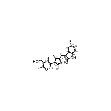 CC(=O)[C@@H](CO)NC(=O)c1c(C)[nH]c(/C=C2\C(=O)Nc3ccc(F)cc32)c1C